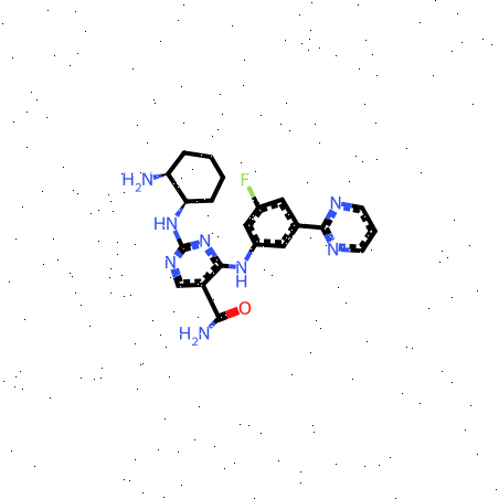 NC(=O)c1cnc(N[C@@H]2CCCC[C@@H]2N)nc1Nc1cc(F)cc(-c2ncccn2)c1